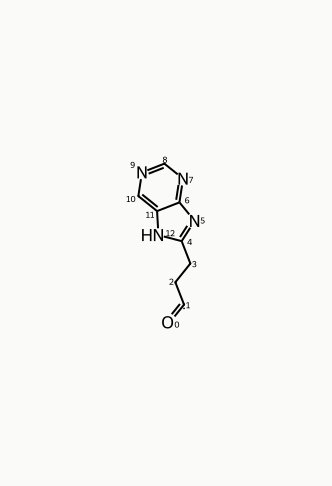 O=[C]CCc1nc2ncncc2[nH]1